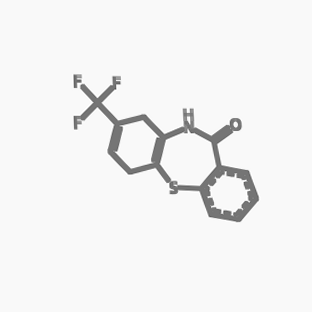 O=C1NC2=C(CC=C(C(F)(F)F)C2)Sc2ccccc21